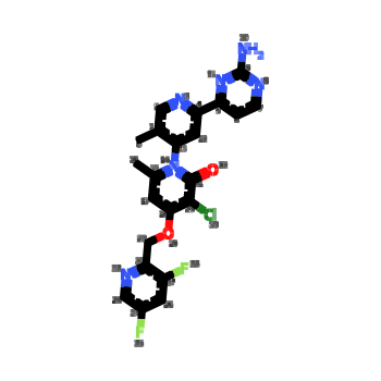 Cc1cnc(-c2ccnc(N)n2)cc1-n1c(C)cc(OCc2ncc(F)cc2F)c(Cl)c1=O